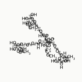 CO[C@H]1CC[C@H](C(=O)NC(CCC(=O)NCCOCCOCCOC2OC(CO)C(O)C(O)C2NC(C)=O)C(=O)N(CC(=O)NCCOCCOCCOC2OC(CO)C(O)C(O)C2NC(C)=O)CC(=O)NCCOCCOCCOC2OC(CO)C(O)C(O)C2NC(C)=O)CC1